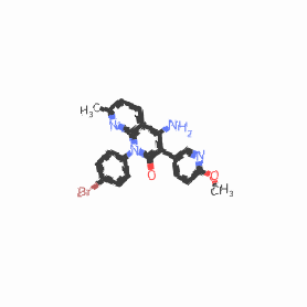 COc1ccc(-c2c(N)c3ccc(C)nc3n(-c3ccc(Br)cc3)c2=O)cn1